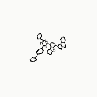 C1=CC2C=Cc3ccc(-c4ccc(-c5nc(-c6ccccc6)nc(-c6ccc(-c7ccccc7)cc6)n5)c5c4oc4ccccc45)cc3C2C=C1